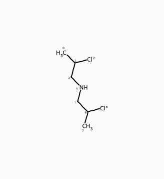 CC(Cl)CNCC(C)Cl